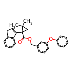 CC1(C)CC1(C(=O)OCc1cccc(Oc2ccccc2)c1)C1=CCc2ccccc21